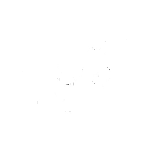 CCOC(OCC)[C@H](C)N(Cc1csc2ccccc12)C(=O)[C@H](CCCCNC(=O)O)NC(=O)CN(C)NC(=O)NCc1ccc(Cl)cc1